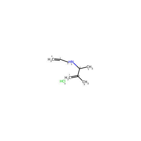 C=CCNC(C)C(=C)C.Cl